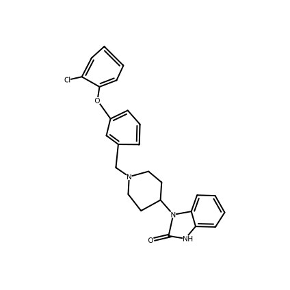 O=c1[nH]c2ccccc2n1C1CCN(Cc2cccc(Oc3ccccc3Cl)c2)CC1